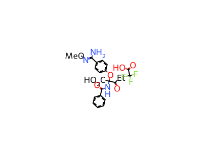 CCC(=O)C(NC(=O)c1ccccc1)(Oc1ccc(C(N)=NOC)cc1)C(=O)O.O=C(O)C(F)(F)F